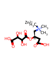 C[N+](C)(C)C[C@@H](CC(=O)O)OC(=O)C(O)C(O)C(=O)O.[Zn+2]